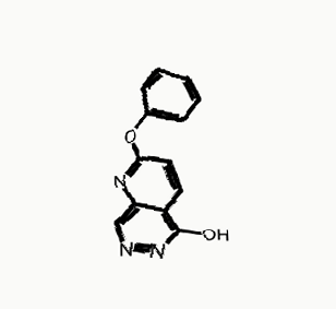 Oc1nncc2nc(Oc3ccccc3)ccc12